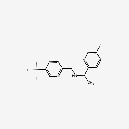 CC(NCc1ccc(C(F)(F)F)cn1)c1ccc(F)cn1